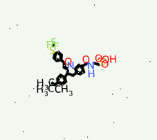 CC(C)(C)c1ccc(C(Cc2ccc(C(=O)NCCS(=O)(=O)O)cc2)c2cc(-c3ccc(SC(F)(F)F)cc3)on2)cc1